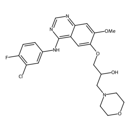 COc1cc2ncnc(Nc3ccc(F)c(Cl)c3)c2cc1OCC(O)CN1CCOCC1